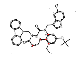 CCOC(OCC)[C@H](C)N(Cc1csc2ccc(Cl)nc12)C(=O)[C@H](Cc1ccc(OC(C)(C)C)cc1)N(CC1c2ccccc2-c2ccccc21)C(=O)O